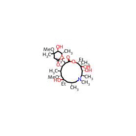 CC[C@H]1OC(=O)[C@H](C)[C@@H](OC2C[C@@](C)(OC)[C@@H](O)[C@H](C)O2)[C@H](C)[C@@H](OC)[C@@](O)(CC)C[C@@H](C)CN(C)[C@H](C)[C@@H](O)[C@]1(C)O